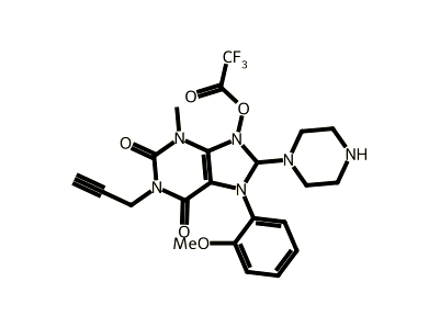 C#CCn1c(=O)c2c(n(C)c1=O)N(OC(=O)C(F)(F)F)C(N1CCNCC1)N2c1ccccc1OC